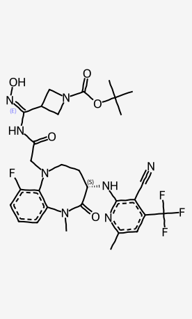 Cc1cc(C(F)(F)F)c(C#N)c(N[C@H]2CCN(CC(=O)N/C(=N/O)C3CN(C(=O)OC(C)(C)C)C3)c3c(F)cccc3N(C)C2=O)n1